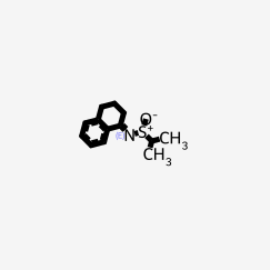 CC(C)[S+]([O-])/N=C1\CCCc2ccccc21